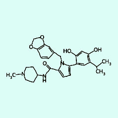 CC(C)c1cc(-c2ccc(C(=O)NC3CCN(C)CC3)n2Cc2ccc3c(c2)OCO3)c(O)cc1O